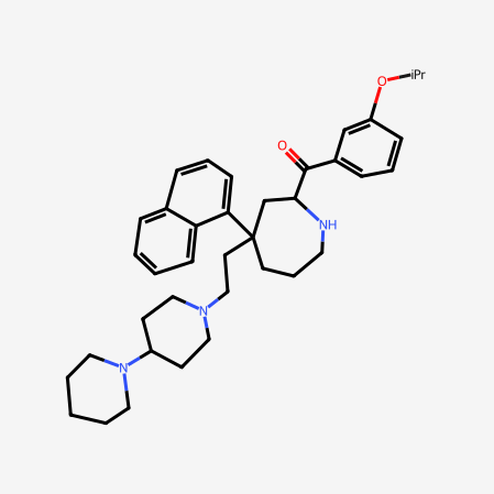 CC(C)Oc1cccc(C(=O)C2CC(CCN3CCC(N4CCCCC4)CC3)(c3cccc4ccccc34)CCCN2)c1